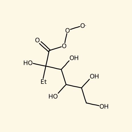 CCC(O)(C(=O)OO[O])C(O)C(O)C(O)CO